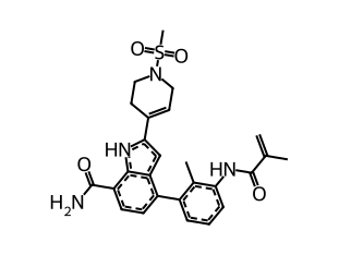 C=C(C)C(=O)Nc1cccc(-c2ccc(C(N)=O)c3[nH]c(C4=CCN(S(C)(=O)=O)CC4)cc23)c1C